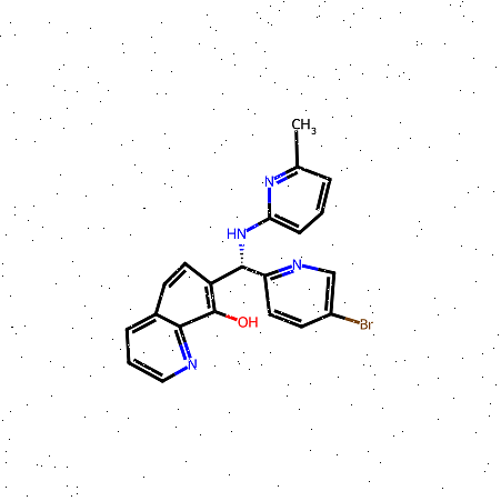 Cc1cccc(N[C@H](c2ccc(Br)cn2)c2ccc3cccnc3c2O)n1